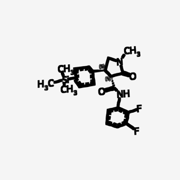 CN1C[C@H](c2ccc([Si](C)(C)C)cc2)[C@@H](C(=O)Nc2cccc(F)c2F)C1=O